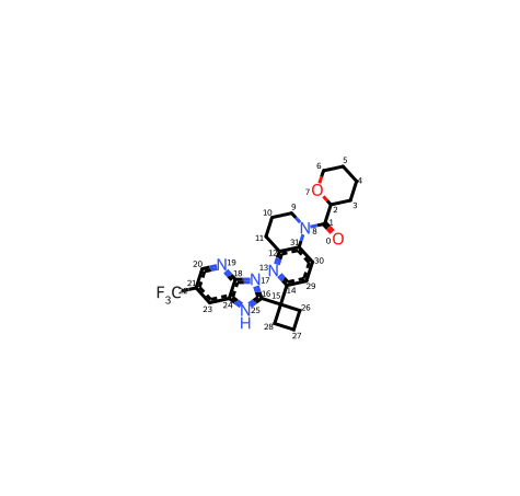 O=C(C1CCCCO1)N1CCCc2nc(C3(c4nc5ncc(C(F)(F)F)cc5[nH]4)CCC3)ccc21